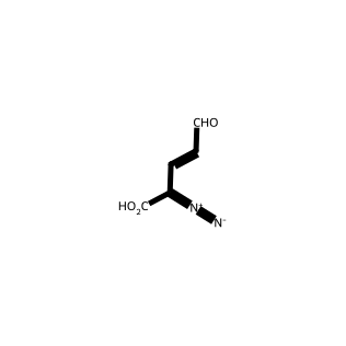 [N-]=[N+]=C(C=CC=O)C(=O)O